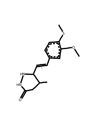 COc1cc(/C=C/C2NNC(=O)CC2C)ccc1SC